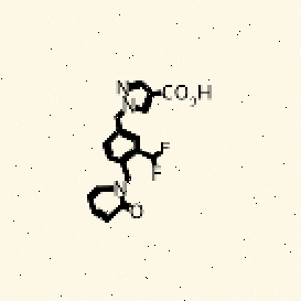 O=C(O)c1cnn(Cc2ccc(Cn3ccccc3=O)c(C(F)F)c2)c1